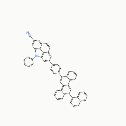 N#Cc1cc2ccc3cc(-c4ccc(-c5cc6c7ccccc7c(-c7cccc8ccccc78)cc6c6ccccc56)cc4)cc4c3c2c(c1)n4-c1ccccc1